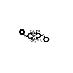 CC1(C)CC(Oc2ccccc2)CC(C)(C)N1N1C(C)(C)CC(OC2CCCCC2)CC1(C)C